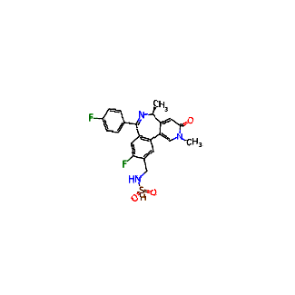 C[C@@H]1N=C(c2ccc(F)cc2)c2cc(F)c(CN[SH](=O)=O)cc2-c2cn(C)c(=O)cc21